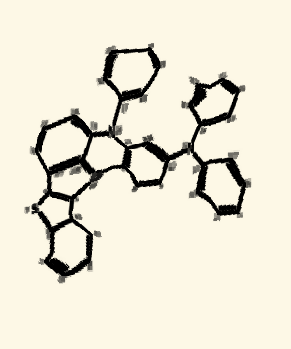 C1=CC2SC3=C(B4c5ccc(N(c6ccccc6)c6ccccc6)cc5N(c5ccccc5)c5cccc3c54)C2C=C1